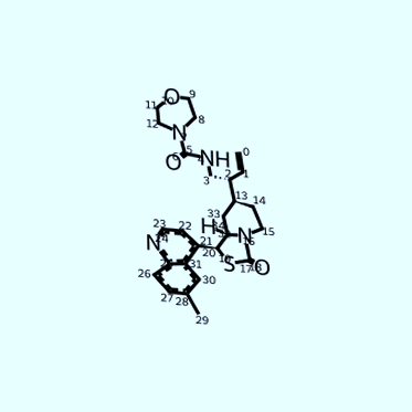 C=C[C@@H](CNC(=O)N1CCOCC1)[C@H]1CCN2C(=O)S[C@@H](c3ccnc4ccc(C)cc34)[C@@H]2C1